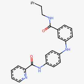 CC(C)CCNC(=O)c1cccc(Nc2ccc(NC(=O)c3ccccn3)cc2)c1